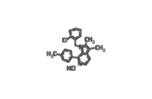 Cc1ccc(-c2nccc3c(C)c(C)n(Cc4ccccc4Cl)c23)cc1.Cl